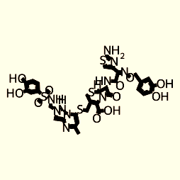 CC1=NC2=CN(CNS(=O)(=O)c3ccc(O)c(O)c3)NN2C(SCC2=C(C(=O)O)N3C(=O)[C@@H](NC(=O)/C(=N\OCc4ccc(O)c(O)c4)c4csc(N)n4)[C@H]3SC2)=C1